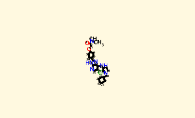 CN(C)C(=O)COc1ccc(-c2nc3c(N[C@H]4CCN(Cc5ccccc5)C4)c(Cl)cnc3[nH]2)cc1